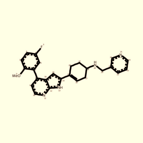 COc1ccc(F)cc1-c1ccnc2[nH]c(C3=CCC(NCc4cccnc4)CC3)cc12